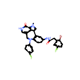 Cn1cc2c3c(c[nH]c(=O)c31)CN(c1ccc(F)cc1)c1ccc(NC(=O)Cc3cc(F)ccc3Br)cc1-2